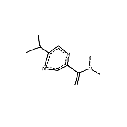 C=C(c1cnc(C(C)C)cn1)N(C)C